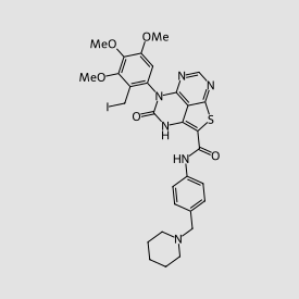 COc1cc(N2C(=O)Nc3c(C(=O)Nc4ccc(CN5CCCCC5)cc4)sc4ncnc2c34)c(CI)c(OC)c1OC